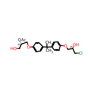 CC(=O)O[C@@H](CO)COc1ccc(C(C)(C)c2ccc(OC[C@@H](O)CCl)cc2)cc1